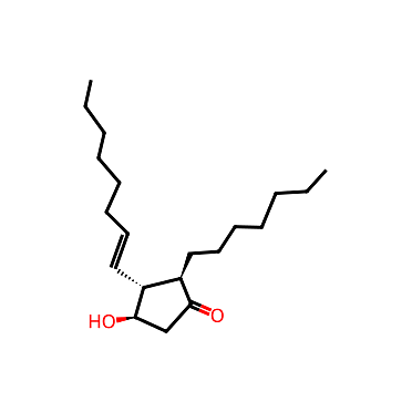 CCCCCC/C=C/[C@H]1[C@H](O)CC(=O)[C@@H]1CCCCCCC